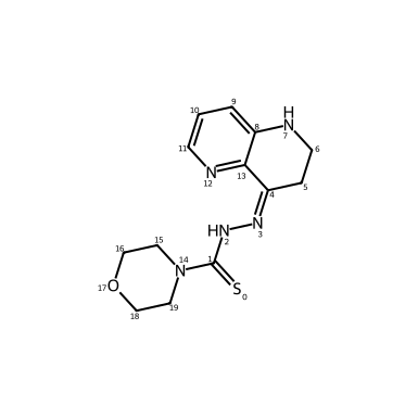 S=C(N/N=C1/CCNc2cccnc21)N1CCOCC1